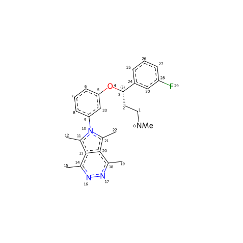 CNCC[C@H](Oc1cccc(-n2c(C)c3c(C)nnc(C)c3c2C)c1)c1cccc(F)c1